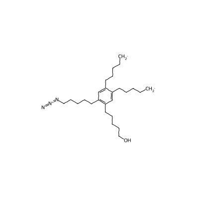 [CH2]CCCCc1cc(CCCCCO)c(CCCCCN=[N+]=[N-])cc1CCCC[CH2]